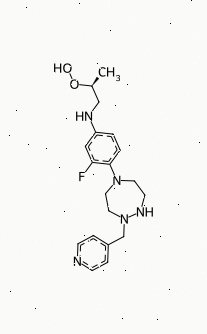 C[C@@H](CNc1ccc(N2CCNN(Cc3ccncc3)CC2)c(F)c1)OO